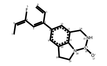 C=C/C(=C\C(F)=C/C)c1cc2c3c(c1)CN[S+]([O-])N3CC2